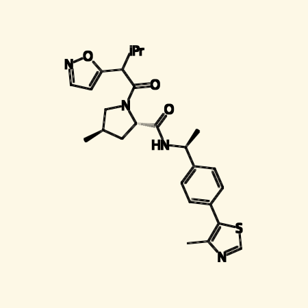 Cc1ncsc1-c1ccc([C@H](C)NC(=O)[C@@H]2C[C@@H](C)CN2C(=O)C(c2ccno2)C(C)C)cc1